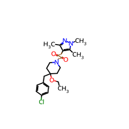 CCOC1(Cc2ccc(Cl)cc2)CCN(S(=O)(=O)c2c(C)nn(C)c2C)CC1